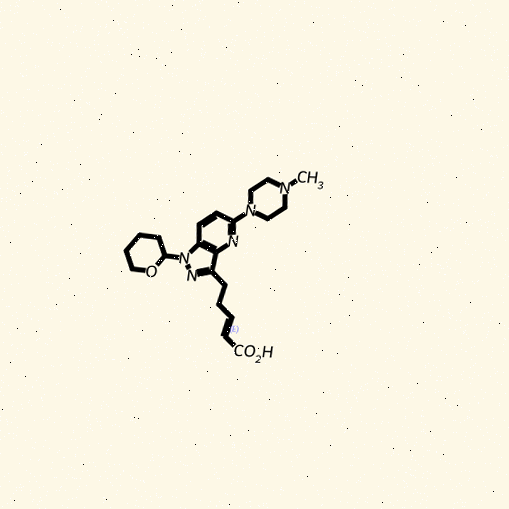 CN1CCN(c2ccc3c(n2)c(CC/C=C/C(=O)O)nn3C2CCCCO2)CC1